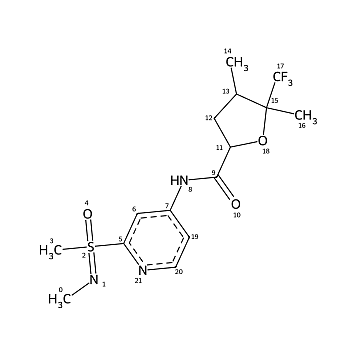 CN=S(C)(=O)c1cc(NC(=O)C2CC(C)C(C)(C(F)(F)F)O2)ccn1